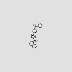 O=C(C1CCCCC1)N1CCC(c2nc(C(=O)N3CCCC4CCCCC43)cs2)CC1